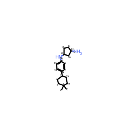 CC1(C)CCC(c2ccc(NC3CCC(N)C3)cc2)CC1